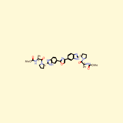 COC(=O)N[C@H](C(=O)N1CCC[C@H]1c1nc2ccc(-c3coc(-c4ccc5nc([C@@H]6CCCN6C(=O)[C@@H](NC(=O)OC)C(C)C)[nH]c5c4)n3)cc2[nH]1)C(C)C